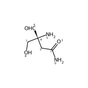 NC(=O)C[C@](N)(C=O)CO